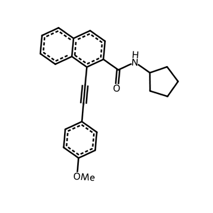 COc1ccc(C#Cc2c(C(=O)NC3CCCC3)ccc3ccccc23)cc1